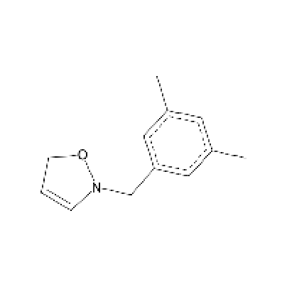 Cc1cc(C)cc(CN2C=CCO2)c1